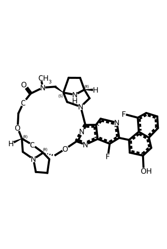 CN1C[C@]23CC[C@H](CN(C2)c2nc(nc4c(F)c(-c5cc(O)cc6cccc(F)c56)ncc24)OC[C@]24CCCN2C[C@@H](C4)OCCC1=O)N3